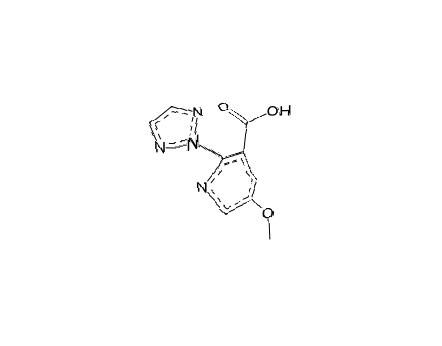 COc1cnc(-n2nccn2)c(C(=O)O)c1